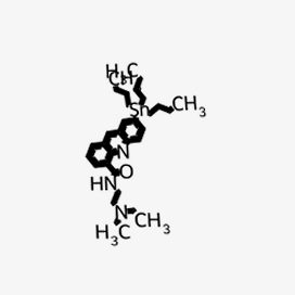 CCC[CH2][Sn]([CH2]CCC)([CH2]CCC)[c]1ccc2nc3c(C(=O)NCCN(CC)CC)cccc3cc2c1